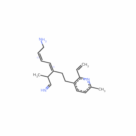 C=Cc1nc(C)ccc1CC/C(=C/C=C\CN)C(C)C=N